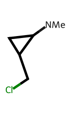 CNC1CC1CCl